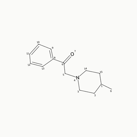 CC1CCN(CC(=O)c2ccccc2)CC1